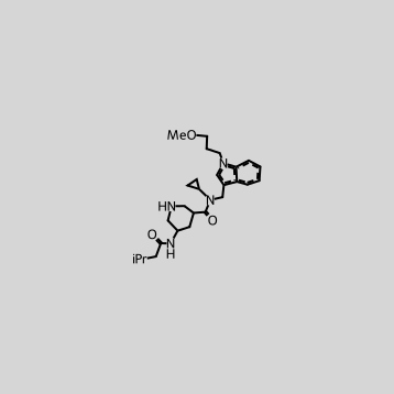 COCCCn1cc(CN(C(=O)C2CNCC(NC(=O)CC(C)C)C2)C2CC2)c2ccccc21